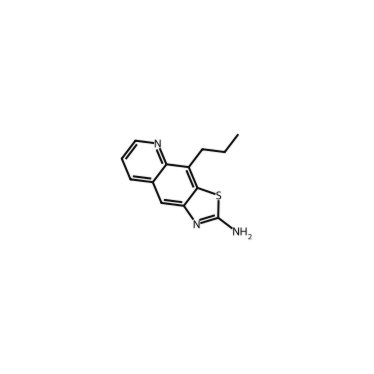 CCCc1c2ncccc2cc2nc(N)sc12